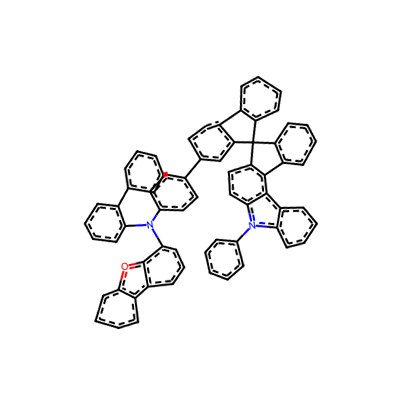 c1ccc(-c2ccccc2N(c2ccc(-c3ccc4c(c3)C3(c5ccccc5-4)c4ccccc4-c4c3ccc3c4c4ccccc4n3-c3ccccc3)cc2)c2cccc3c2oc2ccccc23)cc1